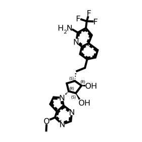 COc1ncnc2c1ccn2[C@@H]1C[C@H](CCc2ccc3cc(C(F)(F)F)c(N)nc3c2)[C@@H](O)[C@H]1O